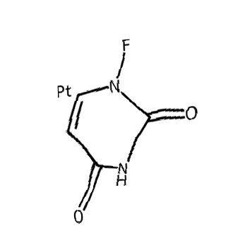 O=c1ccn(F)c(=O)[nH]1.[Pt]